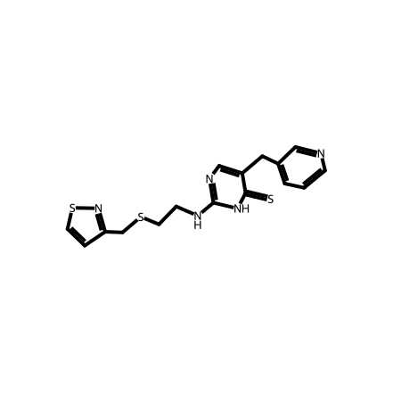 S=c1[nH]c(NCCSCc2ccsn2)ncc1Cc1cccnc1